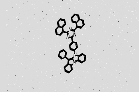 c1ccc(-c2c3ccccc3n3c4ccccc4n(-c4ccc(-c5nc(-c6cccc7ccccc67)nc(-c6cccc7ccccc67)n5)cc4)c23)cc1